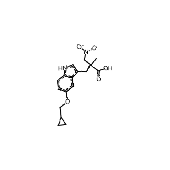 CC(Cc1c[nH]c2ccc(OCC3CC3)cc12)(C[N+](=O)[O-])C(=O)O